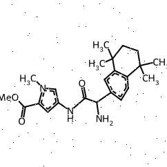 COC(=O)c1cc(NC(=O)C(N)c2ccc3c(c2)C(C)(C)CCC3(C)C)cn1C